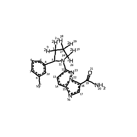 [2H]C1([2H])C(c2cccc(F)c2)N(c2ccc3ncc(C(N)=O)n3n2)C([2H])([2H])C1([2H])[2H]